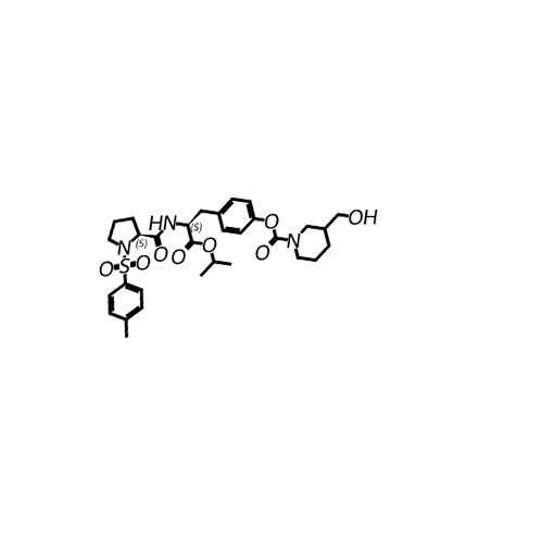 Cc1ccc(S(=O)(=O)N2CCC[C@H]2C(=O)N[C@@H](Cc2ccc(OC(=O)N3CCCC(CO)C3)cc2)C(=O)OC(C)C)cc1